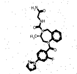 C[C@@H]1CN(C(=O)c2ccc(-n3cccn3)cc2F)c2ccccc2CN1C(=O)NCC(N)=O